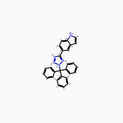 c1ccc(C(c2ccccc2)(c2ccccc2)n2nnc(-c3ccc4[nH]ccc4c3)n2)cc1